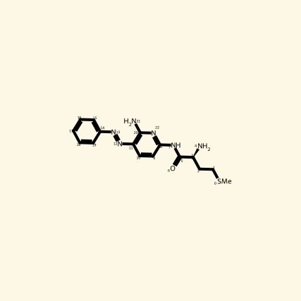 CSCC[C@H](N)C(=O)Nc1ccc(N=Nc2ccccc2)c(N)n1